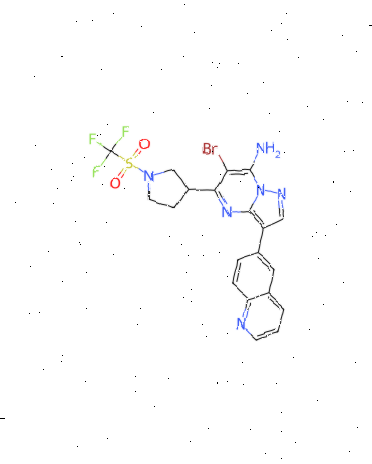 Nc1c(Br)c(C2CCN(S(=O)(=O)C(F)(F)F)C2)nc2c(-c3ccc4ncccc4c3)cnn12